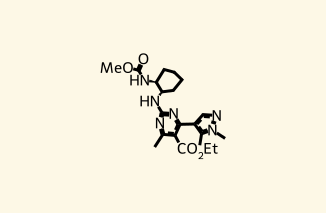 CCOC(=O)c1c(C)nc(N[C@@H]2CCCC[C@@H]2NC(=O)OC)nc1-c1cnn(C)c1C